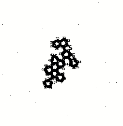 c1ccc(-c2c3ccccc3c(-c3ccc(-c4cc5c(sc6ccc7ccccc7c65)c5sc6ccccc6c45)c4ccccc34)c3ccccc23)cc1